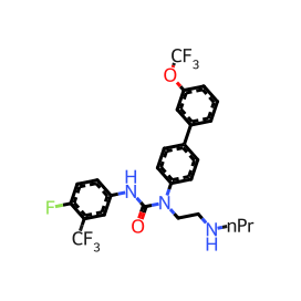 CCCNCCN(C(=O)Nc1ccc(F)c(C(F)(F)F)c1)c1ccc(-c2cccc(OC(F)(F)F)c2)cc1